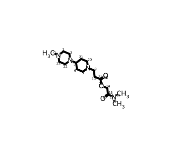 CN1CCN(C2CCN(CCC(=O)OCC(=O)N(C)C)CC2)CC1